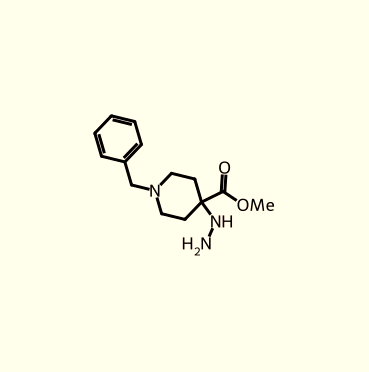 COC(=O)C1(NN)CCN(Cc2ccccc2)CC1